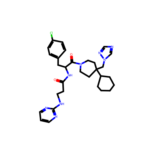 O=C(CCNc1ncccn1)NC(Cc1ccc(Cl)cc1)C(=O)N1CCC(Cn2cncn2)(C2CCCCC2)CC1